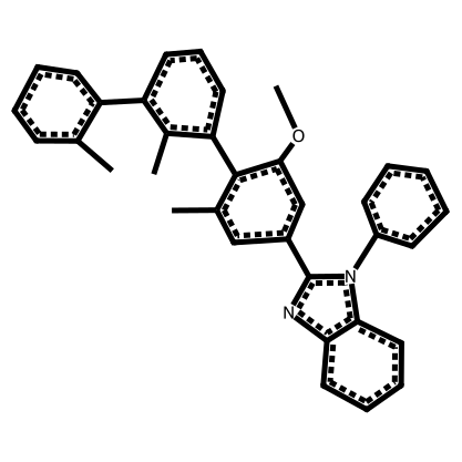 COc1cc(-c2nc3ccccc3n2-c2ccccc2)cc(C)c1-c1cccc(-c2ccccc2C)c1C